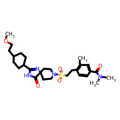 COCCC1CCC(C2=NC3(CCN(S(=O)(=O)CCc4ccc(C(=O)N(C)C)cc4C)CC3)C(=O)N2)CC1